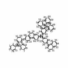 c1ccc(-n2c3ccccc3c3c(-c4ccc5c(ccc6cc(N(c7ccc(-c8cccc9ccccc89)cc7)c7ccc([Si](c8ccccc8)(c8ccccc8)c8ccccc8)cc7)ccc65)c4)cccc32)cc1